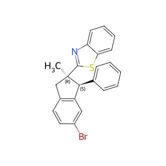 C[C@@]1(c2nc3ccccc3s2)Cc2ccc(Br)cc2[C@@H]1c1ccccc1